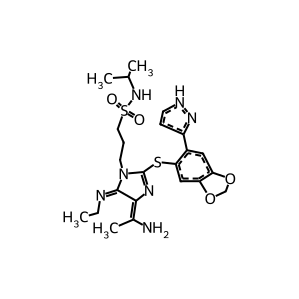 CC/N=C1\C(=C(/C)N)N=C(Sc2cc3c(cc2-c2cc[nH]n2)OCO3)N1CCCS(=O)(=O)NC(C)C